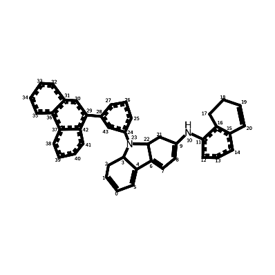 C1=CCC2C(=C1)C1=CC=C(Nc3cccc4c3CCC=C4)CC1N2c1cccc(-c2cc3ccccc3c3ccccc23)c1